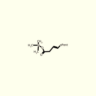 CCCCCC=CCC(=O)O[Si](C)(C)C